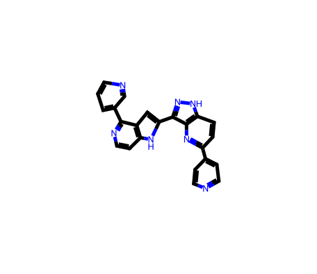 c1cncc(-c2nccc3[nH]c(-c4n[nH]c5ccc(-c6ccncc6)nc45)cc23)c1